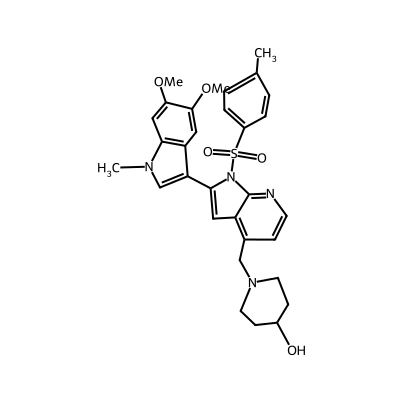 COc1cc2c(-c3cc4c(CN5CCC(O)CC5)ccnc4n3S(=O)(=O)c3ccc(C)cc3)cn(C)c2cc1OC